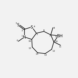 CN1C(=S)SC2CC3(C)BC3(C)CCCCC21